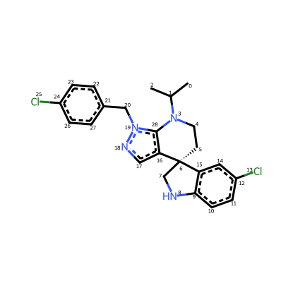 CC(C)N1CC[C@]2(CNc3ccc(Cl)cc32)c2cnn(Cc3ccc(Cl)cc3)c21